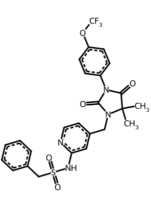 CC1(C)C(=O)N(c2ccc(OC(F)(F)F)cc2)C(=O)N1Cc1ccnc(NS(=O)(=O)Cc2ccccc2)c1